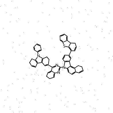 C1=Cc2ccc3c(c2CC1)c1cc(C2=C4Sc5ccccc5C4CC=C2)ccc1n3-c1nc(C2=Cc3c4c(n(-c5ccccc5)c3CC2)CCC=C4)c2c(n1)=CCCC=2